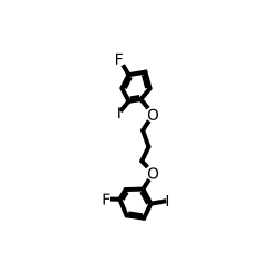 Fc1ccc(OCCCOc2cc(F)ccc2I)c(I)c1